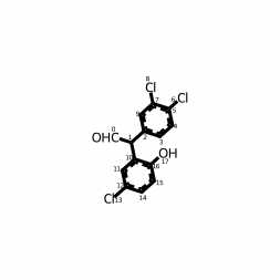 O=CC(c1ccc(Cl)c(Cl)c1)c1cc(Cl)ccc1O